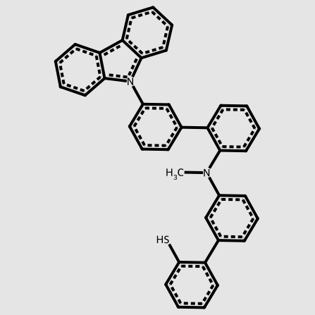 CN(c1cccc(-c2ccccc2S)c1)c1ccccc1-c1cccc(-n2c3ccccc3c3ccccc32)c1